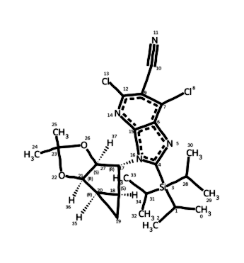 CC(C)[Si](c1nc2c(Cl)c(C#N)c(Cl)nc2n1[C@@H]1[C@H]2C[C@H]2[C@H]2OC(C)(C)O[C@H]21)(C(C)C)C(C)C